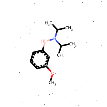 COc1cccc(BN(C(C)C)C(C)C)c1